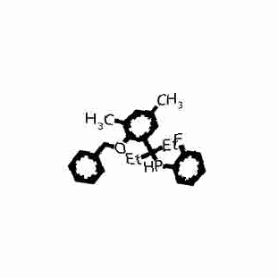 CCC(CC)(Pc1ccccc1F)c1cc(C)cc(C)c1OCc1ccccc1